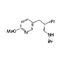 COc1ccc(CC(CNC(C)C)C(C)C)cn1